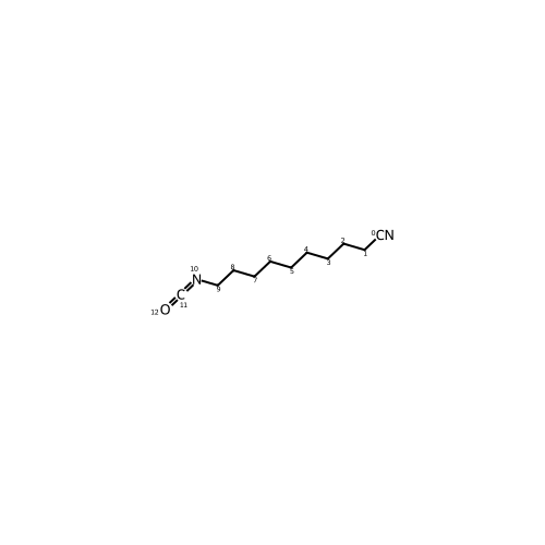 N#CCCCCCCCCCN=C=O